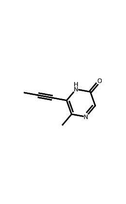 CC#Cc1[nH]c(=O)cnc1C